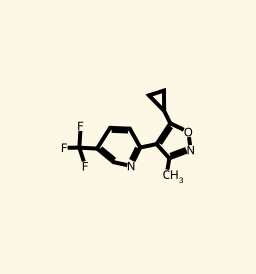 Cc1noc(C2CC2)c1-c1ccc(C(F)(F)F)cn1